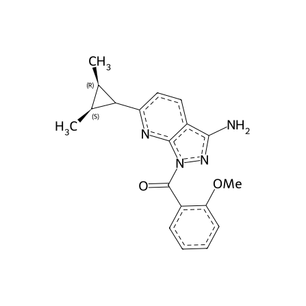 COc1ccccc1C(=O)n1nc(N)c2ccc(C3[C@@H](C)[C@H]3C)nc21